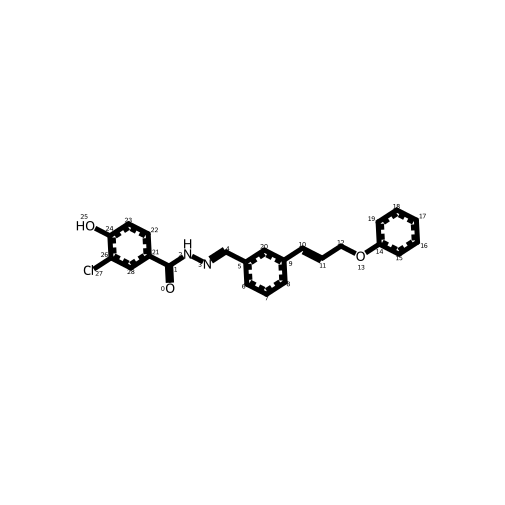 O=C(N/N=C/c1cccc(/C=C/COc2ccccc2)c1)c1ccc(O)c(Cl)c1